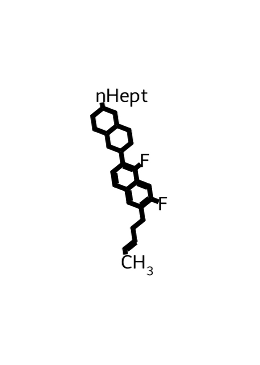 CC=CCCc1cc2ccc(C3CCC4CC(CCCCCCC)CCC4C3)c(F)c2cc1F